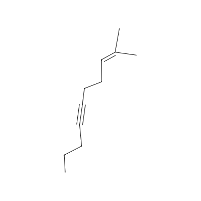 CCCC#CCCC=C(C)C